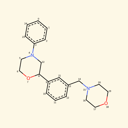 c1ccc(N2CCOC(c3cccc(CN4CCOCC4)c3)C2)cc1